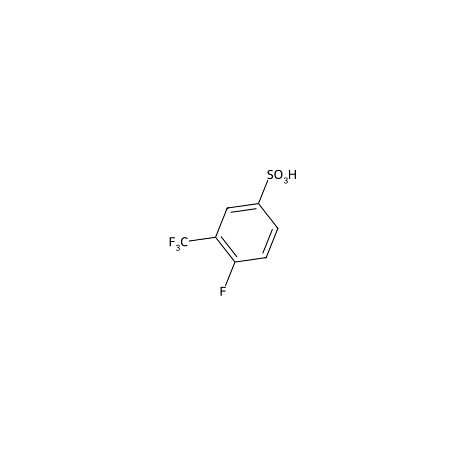 O=S(=O)(O)c1ccc(F)c(C(F)(F)F)c1